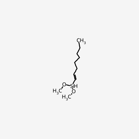 CCCCCCC=C[SiH](OC)OC